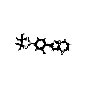 Cc1cc(B2OC(C)(C)C(C)(C)O2)ccc1-c1cc2ncccn2n1